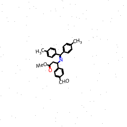 COC(=O)CC(N=C(c1ccc(C)cc1)c1ccc(C)cc1)c1ccc(C=O)cc1